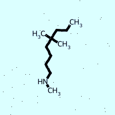 CCCC(C)(C)CCCCNC